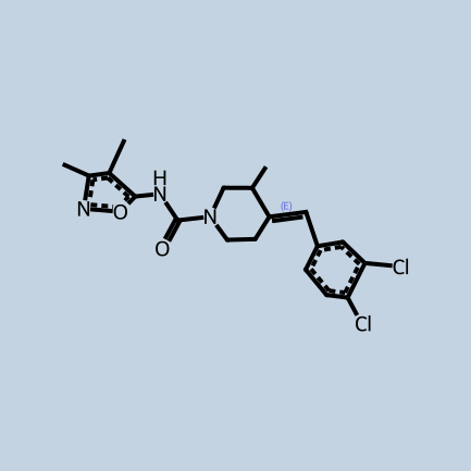 Cc1noc(NC(=O)N2CC/C(=C\c3ccc(Cl)c(Cl)c3)C(C)C2)c1C